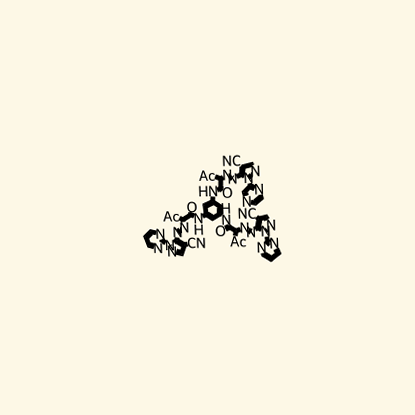 CC(=O)C(N=Nc1c(C#N)cnn1-c1cnccn1)C(=O)Nc1cc(NC(=O)C(N=Nc2c(C#N)cnn2-c2ncccn2)C(C)=O)cc(NC(=O)C(N=Nc2c(C#N)cnn2-c2ncccn2)C(C)=O)c1